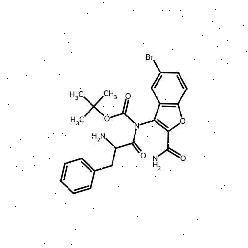 CC(C)(C)OC(=O)N(C(=O)C(N)Cc1ccccc1)c1c(C(N)=O)oc2ccc(Br)cc12